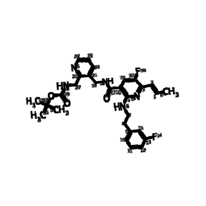 C/C=C/c1nc(NCCc2cccc(F)c2)c(C(=O)NCc2cccnc2CNC(=O)OC(C)(C)C)cc1F